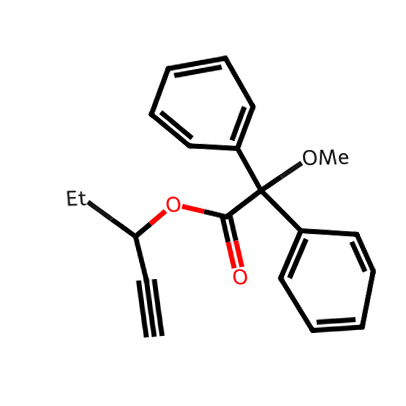 C#CC(CC)OC(=O)C(OC)(c1ccccc1)c1ccccc1